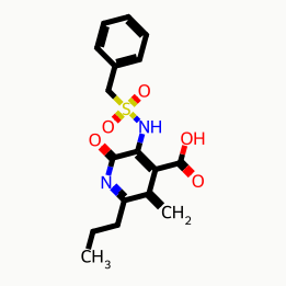 C=C1C(CCC)=NC(=O)C(NS(=O)(=O)Cc2ccccc2)=C1C(=O)O